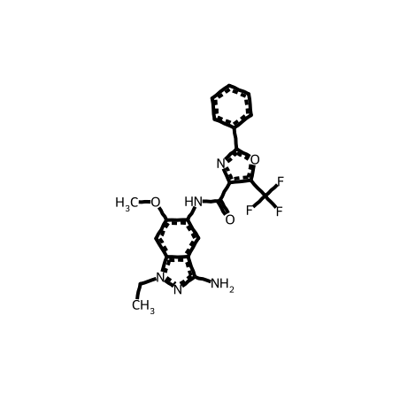 CCn1nc(N)c2cc(NC(=O)c3nc(-c4ccccc4)oc3C(F)(F)F)c(OC)cc21